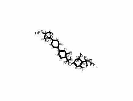 CCCC12COC(C3CCC(c4ccc(C(F)(F)Oc5cc(F)c(C(F)(F)OC(F)(F)F)c(F)c5)c(F)c4)CC3)(OC1)O2